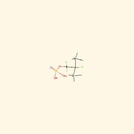 C[Si](C)(C)C(F)(C(F)(F)OP(=O)(O)O)[Si](C)(C)C